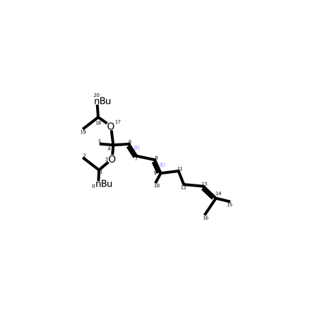 CCCCC(C)OC(C)(/C=C/C=C(\C)CCC=C(C)C)OC(C)CCCC